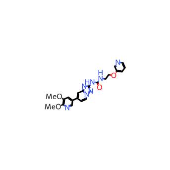 COc1cc(-c2ccn3nc(NC(=O)NCCOc4cccnc4)nc3c2)cnc1OC